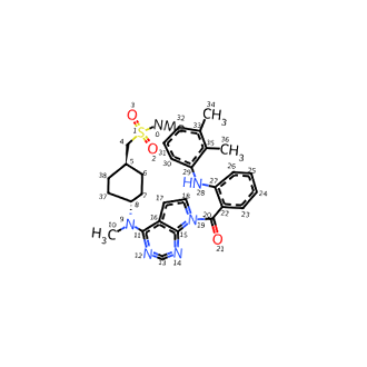 CNS(=O)(=O)C[C@H]1CC[C@H](N(C)c2ncnc3c2ccn3C(=O)c2ccccc2Nc2cccc(C)c2C)CC1